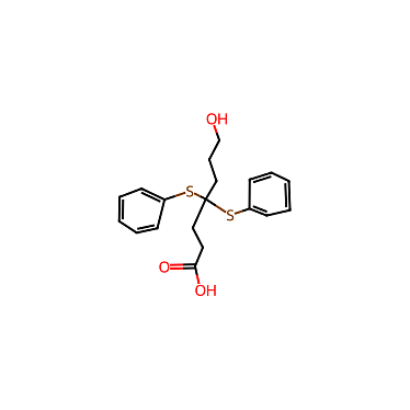 O=C(O)CCC(CCCO)(Sc1ccccc1)Sc1ccccc1